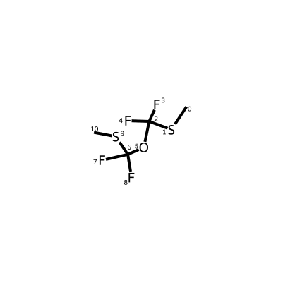 CSC(F)(F)OC(F)(F)SC